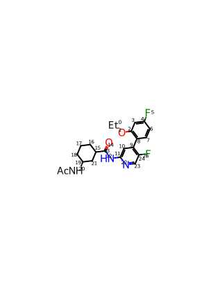 CCOc1cc(F)ccc1-c1cc(NC(=O)C2CCCC(NC(C)=O)C2)ncc1F